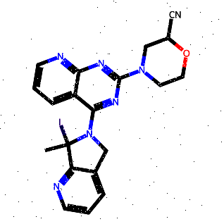 CC1(I)c2ncccc2CN1c1nc(N2CCOC(C#N)C2)nc2ncccc12